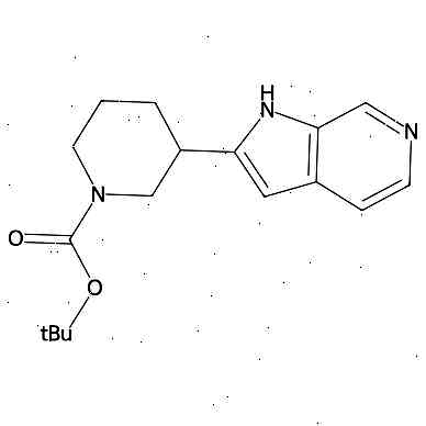 CC(C)(C)OC(=O)N1CCCC(c2cc3ccncc3[nH]2)C1